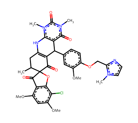 COc1cc(C2C3=C(CC(C)C4(Oc5c(Cl)c(OC)cc(OC)c5C4=O)C3=O)Nc3c2c(=O)n(C)c(=O)n3C)ccc1OCc1nccn1C